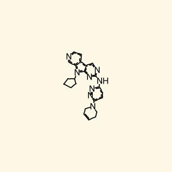 C1=CCN(c2ccc(Nc3ncc4c5ccncc5n(C5CCCC5)c4n3)nn2)CC1